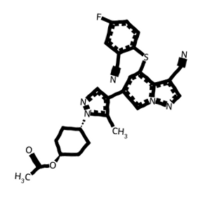 CC(=O)O[C@H]1CC[C@H](n2ncc(-c3cc(Sc4ccc(F)cc4C#N)c4c(C#N)cnn4c3)c2C)CC1